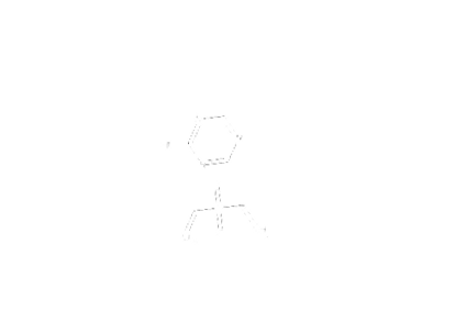 C=CS(=O)(=O)C=C.F.c1ncncn1